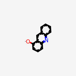 [O]c1cccc2nc3ccccc3cc12